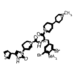 CN1CCC(C2CCN(C(=O)[C@@H](Cc3cc(Br)c(N)c(Br)c3)NC(=O)N3CCC(n4cc(-c5ccsc5)[nH]c4=O)CC3)CC2)CC1